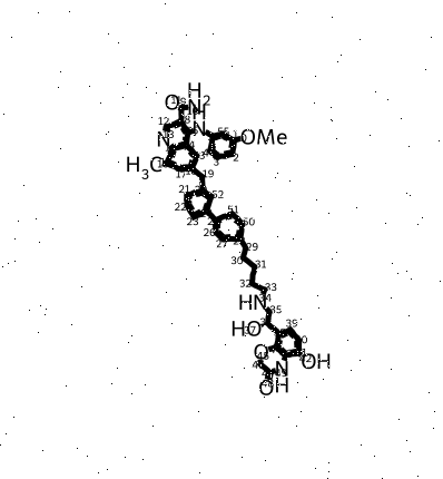 COc1cccc(Nc2c(C(N)=O)cnc3c(C)cc(Cc4cccc(-c5ccc(CCCCCNC[C@H](O)c6ccc(O)c7c6OCC(=O)N7)cc5)c4)cc23)c1